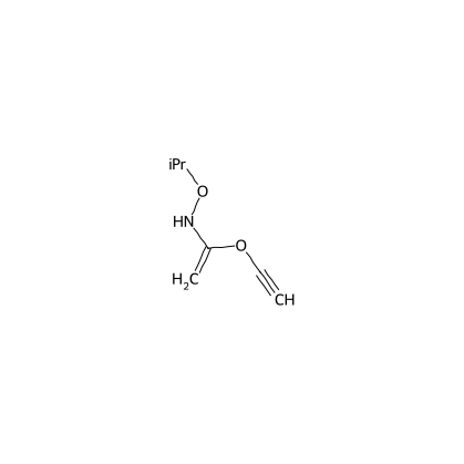 C#COC(=C)NOC(C)C